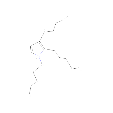 CCCCCc1ccn(CCCCC)c1CCCCC